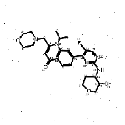 CC(C)n1c(CN2CCOCC2)cc(=O)c2ccc(-c3nc(N[C@@H]4CCOC[C@H]4O)ncc3F)cc21